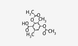 CC(=O)Oc1cc(C)c(C(=O)O)c(OC(C)=O)c1C